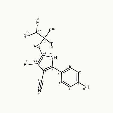 N#Cc1c(-c2ccc(Cl)cc2)[nH]c(SC(F)(F)C(F)Br)c1Br